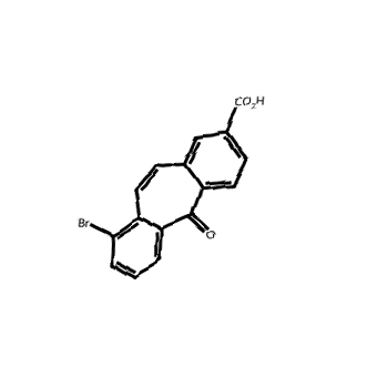 O=C(O)c1ccc2c(=O)c3cccc(Br)c3ccc2c1